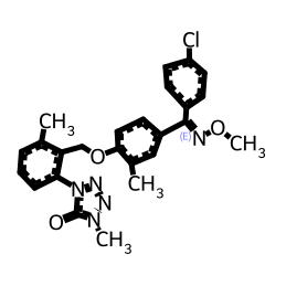 CO/N=C(\c1ccc(Cl)cc1)c1ccc(OCc2c(C)cccc2-n2nnn(C)c2=O)c(C)c1